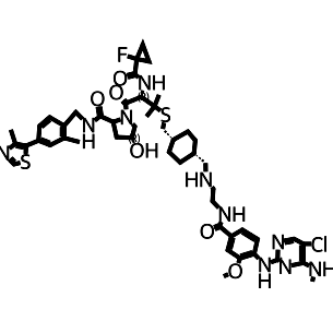 CNc1nc(Nc2ccc(C(=O)NCCNC[C@H]3CC[C@@H](CSC(C)(C)[C@H](NC(=O)C4(F)CC4)C(=O)N4C[C@H](O)CC4C(=O)NCc4ccc(-c5scnc5C)cc4C)CC3)cc2OC)ncc1Cl